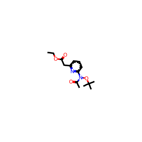 CCOC(=O)Cc1cccc(N(OC(C)(C)C)C(C)=O)n1